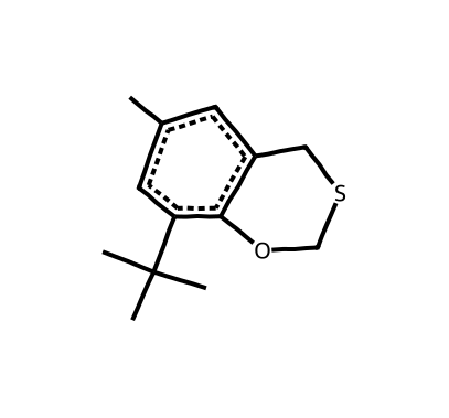 Cc1cc2c(c(C(C)(C)C)c1)OCSC2